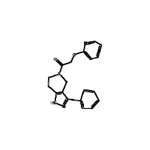 O=C(COc1ccccn1)N1CCc2[nH]nc(-c3ccccc3)c2C1